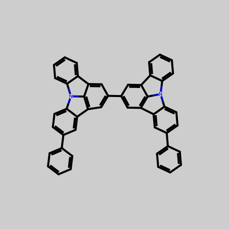 c1ccc(-c2ccc3c(c2)c2cc(-c4cc5c6ccccc6n6c7ccc(-c8ccccc8)cc7c(c4)c56)cc4c5ccccc5n3c42)cc1